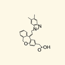 Cc1cc2ncn(C/C=C3\c4ccccc4COc4ccc(CC(=O)O)cc43)c2cc1C